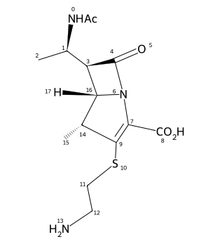 CC(=O)N[C@H](C)[C@H]1C(=O)N2C(C(=O)O)=C(SCCN)[C@H](C)[C@H]12